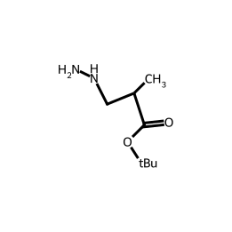 CC(CNN)C(=O)OC(C)(C)C